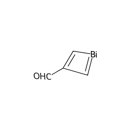 O=CC1=[CH][Bi]=[CH]1